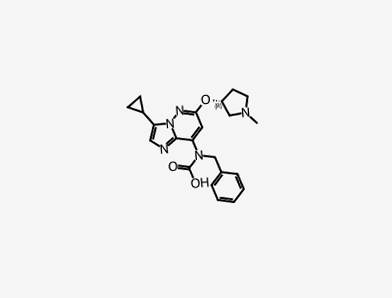 CN1CC[C@@H](Oc2cc(N(Cc3ccccc3)C(=O)O)c3ncc(C4CC4)n3n2)C1